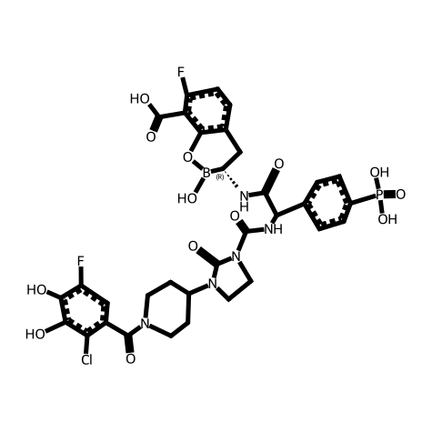 O=C(O)c1c(F)ccc2c1OB(O)[C@@H](NC(=O)C(NC(=O)N1CCN(C3CCN(C(=O)c4cc(F)c(O)c(O)c4Cl)CC3)C1=O)c1ccc(P(=O)(O)O)cc1)C2